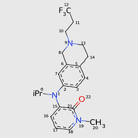 CC(C)N(c1ccc2c(c1)CN(CCC(F)(F)F)CC2)c1cccn(C)c1=O